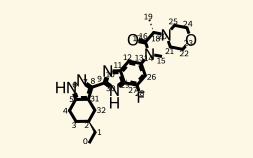 CC[C@H]1CCc2[nH]nc(-c3nc4cc(N(C)C(=O)[C@H](C)N5CCOCC5)cc(F)c4[nH]3)c2C1